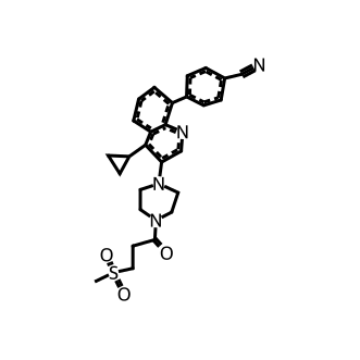 CS(=O)(=O)CCC(=O)N1CCN(c2cnc3c(-c4ccc(C#N)cc4)cccc3c2C2CC2)CC1